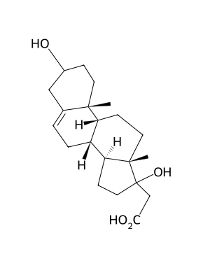 C[C@]12CCC(O)CC1=CC[C@@H]1[C@H]2CC[C@@]2(C)[C@H]1CCC2(O)CC(=O)O